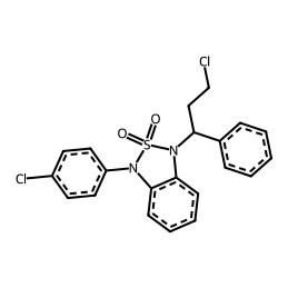 O=S1(=O)N(c2ccc(Cl)cc2)c2ccccc2N1C(CCCl)c1ccccc1